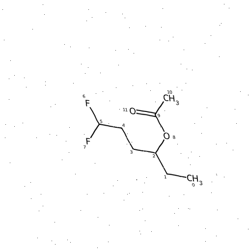 CCC(CCC(F)F)OC(C)=O